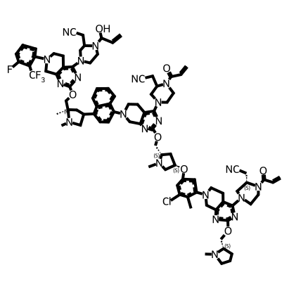 C=CC(=O)N1CCN(c2nc(OC[C@@H]3C[C@H](Oc4cc(Cl)c(C)c(N5CCc6c(nc(OC[C@@H]7CCCN7C)nc6N6CCN(C(=O)C=C)[C@@H](CC#N)C6)C5)c4)CN3C)nc3c2CCN(c2ccc(C4CN(C)[C@@](C)(COc5nc6c(c(N7CCN(C(O)C=C)C(CC#N)C7)n5)CCN(c5cccc(F)c5C(F)(F)F)C6)C4)c4ccccc24)C3)CC1CC#N